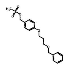 CS(=O)(=O)OCc1ccc(OCCCOCc2ccccc2)cc1